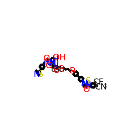 Cc1ncsc1-c1ccc(CNC(=O)[C@@H]2C[C@H](O)CN2C(=O)C(NC(=O)COCCCCOc2ccc(-c3ccc(N4C(=S)N(c5ccc(C#N)c(C(F)(F)F)c5)C(=O)C4(C)C)cc3)cc2)C(C)(C)C)cc1